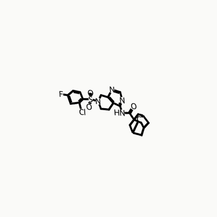 O=C(Nc1ncnc2c1CCN(S(=O)(=O)c1ccc(F)cc1Cl)C2)C12CC3CC(CC(C3)C1)C2